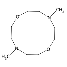 CN1CCOCCN(C)CCOCC1